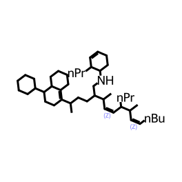 CCCC/C=C\C(C)C(/C=C\C(C)C(CCC(C)C1=C2CCCCC2C(C2CCCCC2)CC1)CNC1CCC=CC1CCC)CCC